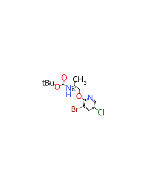 C[C@@H](COc1ncc(Cl)cc1Br)NC(=O)OC(C)(C)C